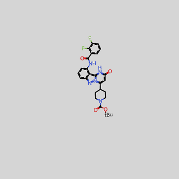 CC(C)(C)OC(=O)N1CCC(c2cc(=O)[nH]c3c4c(NC(=O)c5cccc(F)c5F)cccc4nn23)CC1